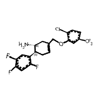 N[C@@H]1CC(COc2cc(C(F)(F)F)ccc2Cl)=CC[C@H]1c1cc(F)c(F)cc1F